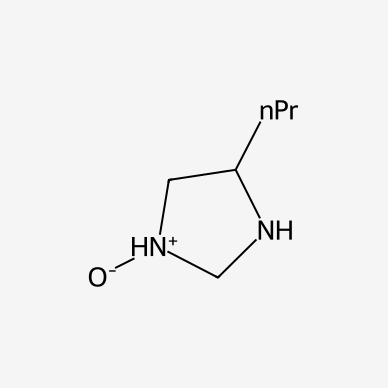 CCCC1C[NH+]([O-])CN1